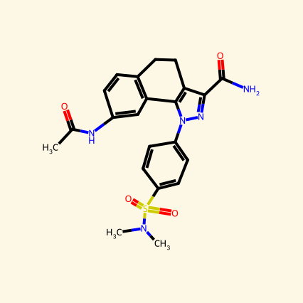 CC(=O)Nc1ccc2c(c1)-c1c(c(C(N)=O)nn1-c1ccc(S(=O)(=O)N(C)C)cc1)CC2